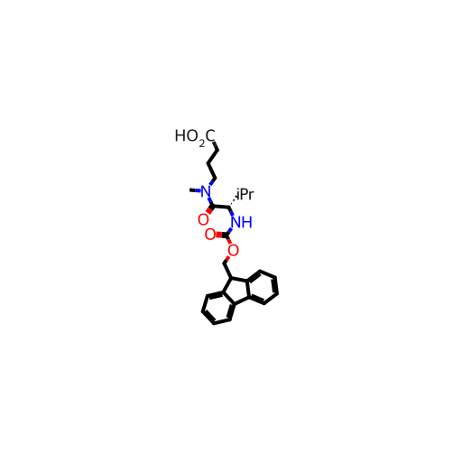 CC(C)[C@H](NC(=O)OCC1c2ccccc2-c2ccccc21)C(=O)N(C)CCCC(=O)O